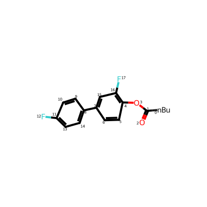 CCCCC(=O)Oc1ccc(-c2ccc(F)cc2)cc1F